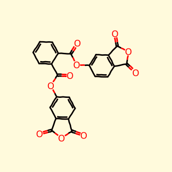 O=C1OC(=O)c2cc(OC(=O)c3ccccc3C(=O)Oc3ccc4c(c3)C(=O)OC4=O)ccc21